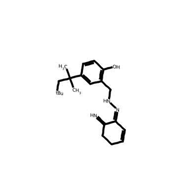 CC(C)(C)CC(C)(C)c1ccc(O)c(CN/N=C2/C=CCCC2=N)c1